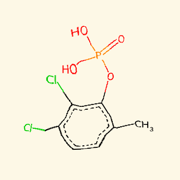 Cc1ccc(Cl)c(Cl)c1OP(=O)(O)O